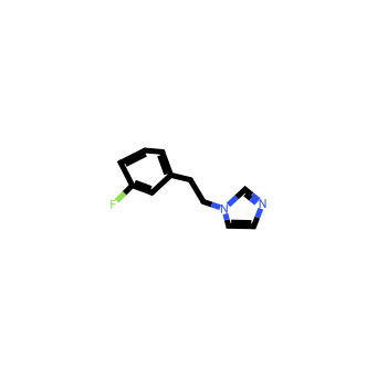 Fc1cccc(CCn2[c]ncc2)c1